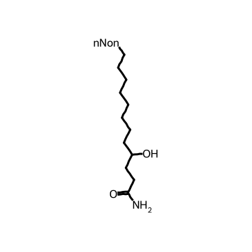 CCCCCCCCCCCCCCCCCC(O)CCC(N)=O